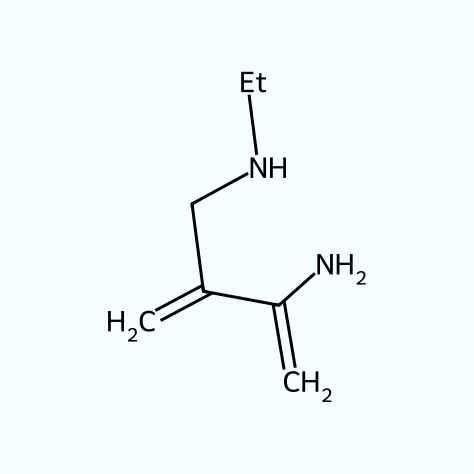 C=C(N)C(=C)CNCC